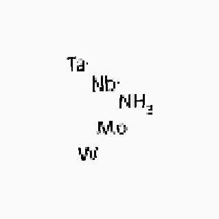 N.[Mo].[Nb].[Ta].[W]